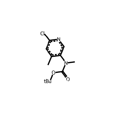 Cc1cc(Cl)ncc1N(C)C(=O)OC(C)(C)C